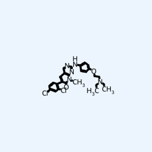 CCN(CC)CCOc1ccc(Nc2ncc3cc(-c4ccc(Cl)cc4Cl)c(=O)n(C)c3n2)cc1